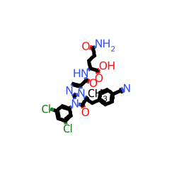 CC1(Cc2ccc(C#N)cc2)C(=O)N(c2cc(Cl)cc(Cl)c2)c2ncc(C(=O)NC(CCC(N)=O)C(=O)O)n21